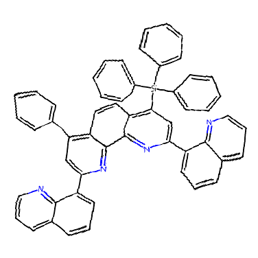 c1ccc(-c2cc(-c3cccc4cccnc34)nc3c2ccc2c([Si](c4ccccc4)(c4ccccc4)c4ccccc4)cc(-c4cccc5cccnc45)nc23)cc1